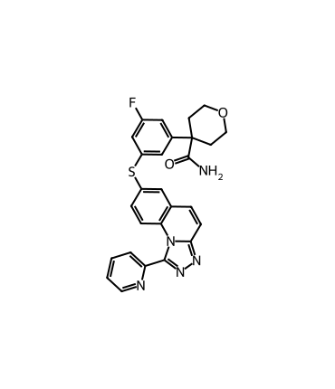 NC(=O)C1(c2cc(F)cc(Sc3ccc4c(ccc5nnc(-c6ccccn6)n54)c3)c2)CCOCC1